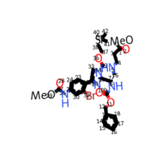 COC(=O)CCNC[C@H](NC(=O)OCc1ccccc1)c1nc(-c2ccc(NC(=O)OC)cc2Br)cn1COCC[Si](C)(C)C